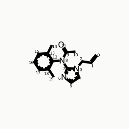 C=CCn1ccnc1N(C(C)=O)c1c(C)cccc1C